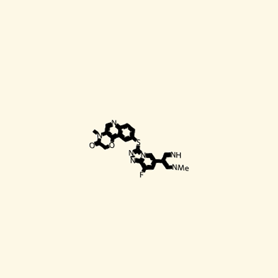 CN/C=C(\C=N)c1cc(F)c2nnc(Sc3ccc4ncc5c(c4c3)OCC(=O)N5C)n2c1